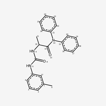 Cc1cccc(NC(=O)NC(C)C(=O)N(c2ccccc2)c2ccccc2)c1